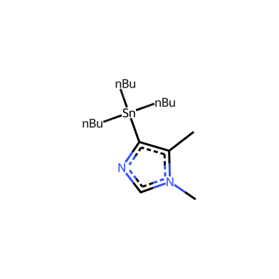 CCC[CH2][Sn]([CH2]CCC)([CH2]CCC)[c]1ncn(C)c1C